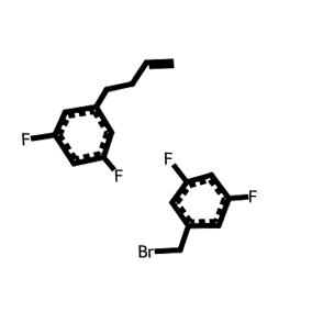 C=CCCc1cc(F)cc(F)c1.Fc1cc(F)cc(CBr)c1